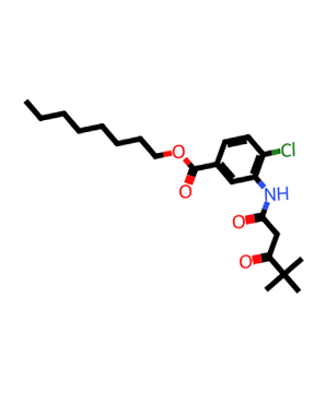 CCCCCCCCOC(=O)c1ccc(Cl)c(NC(=O)CC(=O)C(C)(C)C)c1